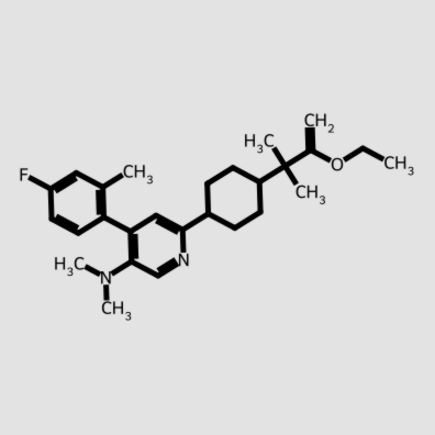 C=C(OCC)C(C)(C)C1CCC(c2cc(-c3ccc(F)cc3C)c(N(C)C)cn2)CC1